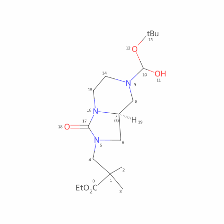 CCOC(=O)C(C)(C)CN1C[C@@H]2CN(C(O)OC(C)(C)C)CCN2C1=O